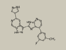 Cc1cc(F)cc(-c2ccnc3[nH]c(-c4n[nH]c5cnc(-c6cn[nH]c6)cc45)nc23)c1